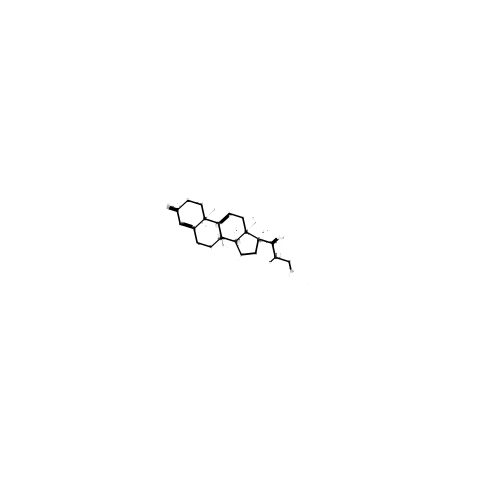 C[C@H]1C[C@@H]2C(=CC[C@@]3(C)[C@H]2CC[C@]3(O)C(=O)C(O)CC(=O)O)[C@@]2(C)CCC(=O)C=C12